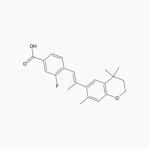 C/C(=C\c1ccc(C(=O)O)cc1F)c1cc2c(cc1C)OCCC2(C)C